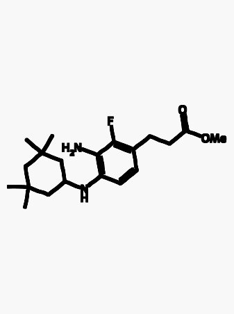 COC(=O)CCc1ccc(NC2CC(C)(C)CC(C)(C)C2)c(N)c1F